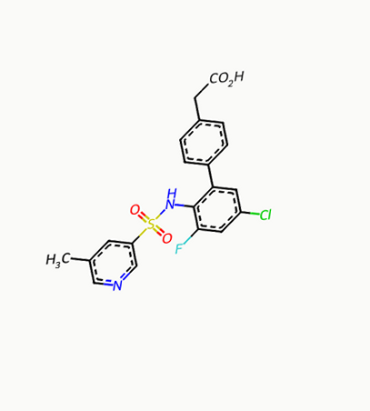 Cc1cncc(S(=O)(=O)Nc2c(F)cc(Cl)cc2-c2ccc(CC(=O)O)cc2)c1